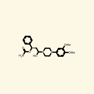 COc1ccc(N2CCN(C(O)C[C@@H](OC(N)=O)c3ccccc3)CC2)cc1OC